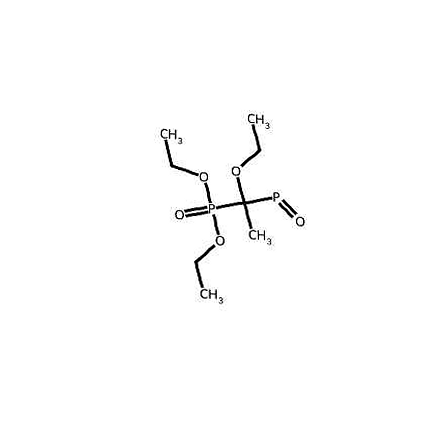 CCOC(C)(P=O)P(=O)(OCC)OCC